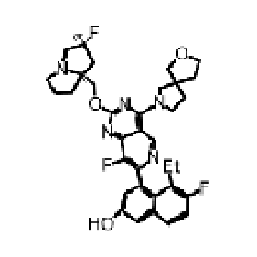 CCc1c(F)ccc2cc(O)cc(-c3ncc4c(N5CCC6(CCOC6)C5)nc(OC[C@@]56CCCN5C[C@H](F)C6)nc4c3F)c12